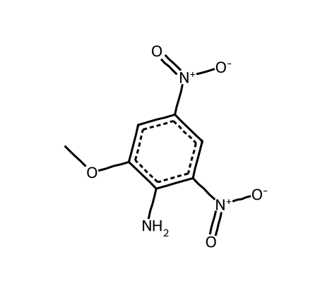 COc1cc([N+](=O)[O-])cc([N+](=O)[O-])c1N